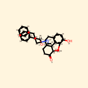 O=C1CC[C@@]2(OCCCc3ccccc3)[C@H]3Cc4ccc(O)c5c4[C@@]2(CCN3CCc2ccccc2)[C@H]1O5